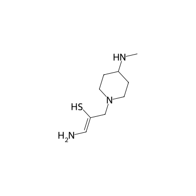 CNC1CCN(C/C(S)=C/N)CC1